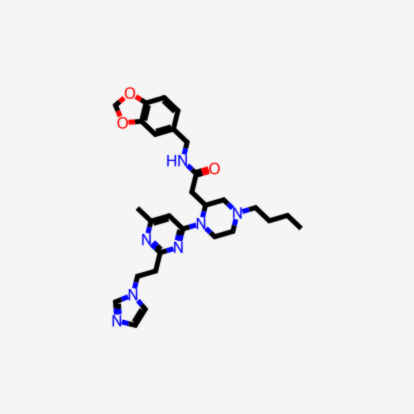 CCCCN1CCN(c2cc(C)nc(CCn3ccnc3)n2)C(CC(=O)NCc2ccc3c(c2)OCO3)C1